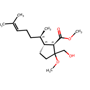 COC(=O)[C@@H]1[C@@H]([C@H](C)CCC=C(C)C)CCC1(CO)OC